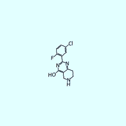 Oc1nc(-c2cc(Cl)ccc2F)nc2c1CNCC2